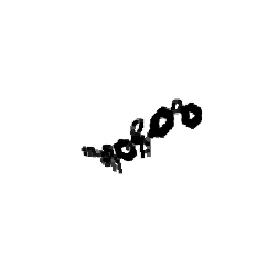 CC(C)(C)S(=O)(=O)NC1CCN(C(=O)Nc2ccc(Oc3ccccc3)cc2)CC1